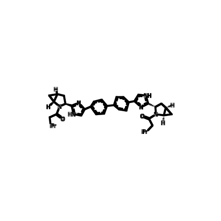 CC(C)CC(=O)N1[C@@H]2C[C@@H]2C[C@H]1c1nc(-c2ccc(-c3ccc(-c4c[nH]c([C@@H]5C[C@H]6C[C@H]6N5C(=O)CC(C)C)n4)cc3)cc2)c[nH]1